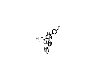 CC(C)c1cnc(-c2ccc(F)cc2)nc1-n1ccc(-n2cncn2)c1